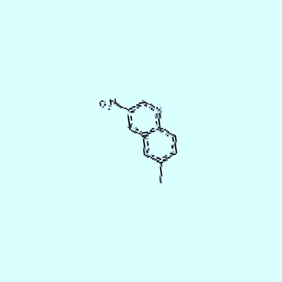 O=[N+]([O-])c1cnc2ccc(I)cc2c1